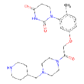 Cc1ccc(OCC(=O)N2CCN(CC3CCNCC3)CC2)cc1N1CCC(=O)NC1=O